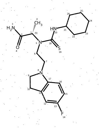 C[C@@H](C(N)=O)N(CCN1CCc2cc(F)ccc21)C(=S)NC1CCCCC1